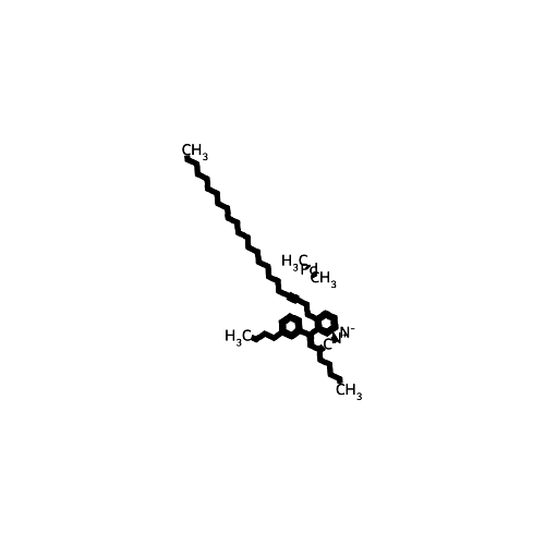 CCCCCCCCCCCCCCCCCCCCC#CCCc1ccccc1C(=CC(=C=[N+]=[N-])CCCCC)c1cccc(CCCC)c1.[CH3][Pd][CH3]